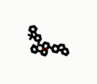 CC1(C)c2ccccc2-c2ccc(N(c3ccc(-c4ccc5c(ccc6ccccc65)c4)cc3)c3ccccc3-c3ccccc3)cc21